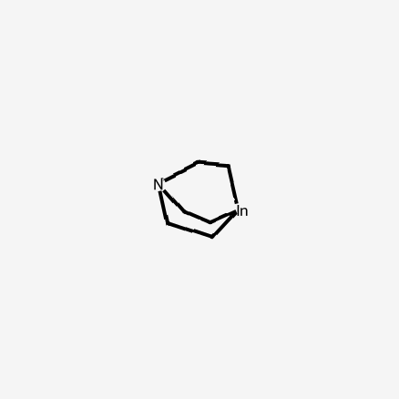 C1[CH2][In]2[CH2]CN1C[CH2]2